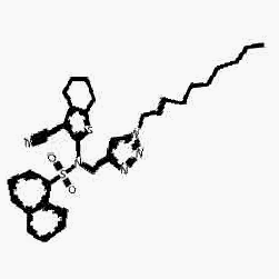 CCCCCCCCCCn1cc(CN(c2sc3c(c2C#N)CCCC3)S(=O)(=O)c2cccc3ccccc23)nn1